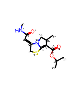 CNC(=O)C=C1CSC2=C(C(=O)OC(C)C)C(C)CN12